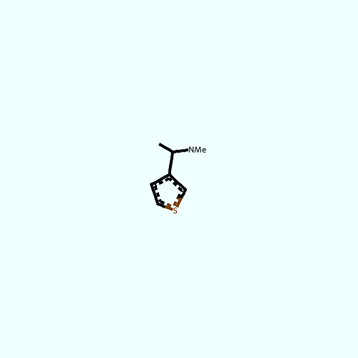 [CH2-][NH2+]C(C)c1ccsc1